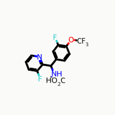 O=C(O)NC(c1ccc(OC(F)(F)F)c(F)c1)c1ncccc1F